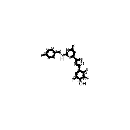 Cc1cc(-c2noc(-c3cc(F)c(O)c(F)c3F)n2)nc(NCc2ccc(F)cc2)n1